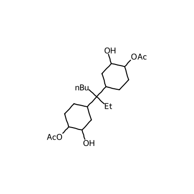 CCCCC(CC)(C1CCC(OC(C)=O)C(O)C1)C1CCC(OC(C)=O)C(O)C1